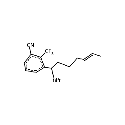 CC=CCCCC(CCC)c1cccc(C#N)c1C(F)(F)F